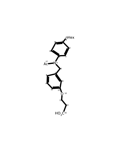 CCCCCCc1ccc(N(Cc2cccc(OCCC(=O)O)c2)C(C)=O)cc1